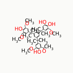 COCc1cc(C(C)(C)c2cc(C(C)(C)c3cc(COC)c(O)c(COC)c3)cc(C(C)(C)c3cc(COC)c(O)c(C(C)=O)c3)c2)cc(O)c1O